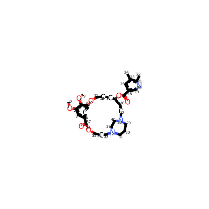 COc1cc2cc(c1OC)OCCCC(OC(=O)c1cnc(C)c(C)c1)CCN1CCCN(CCCOC2=O)CC1